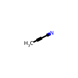 CC#CC#N